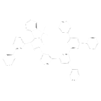 C[Si]1(C)c2ccccc2-c2c(-c3cccc(-c4ccccc4)c3)nc(-c3cccc(-c4cc(-c5ccccc5)cc(-c5cc(-c6ccccc6)cc(-c6ccccc6)c5)c4)c3)nc21